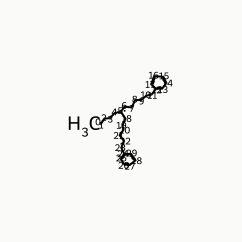 CCCCCC([CH]CCCCCc1ccccc1)CCCCCCc1ccccc1